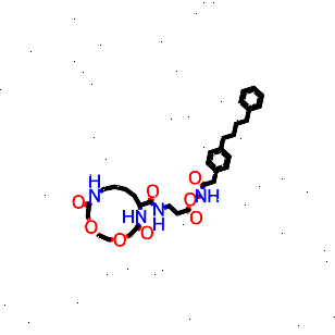 O=C1COCCOCC(=O)NC(C(=O)NCCC(=O)ONC(=O)Cc2ccc(CCCCc3ccccc3)cc2)CCCCN1